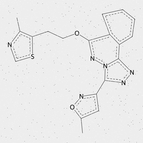 Cc1cc(-c2nnc3c4ccccc4c(OCCc4scnc4C)nn23)no1